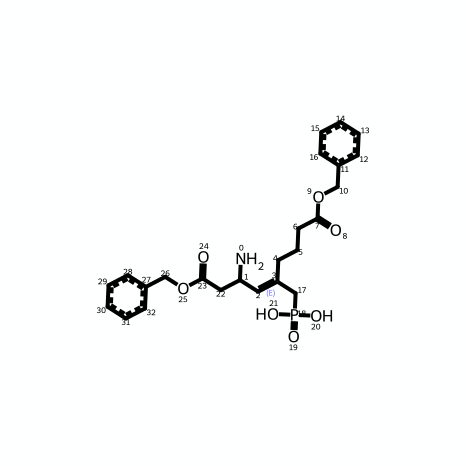 NC(/C=C(\CCCC(=O)OCc1ccccc1)CP(=O)(O)O)CC(=O)OCc1ccccc1